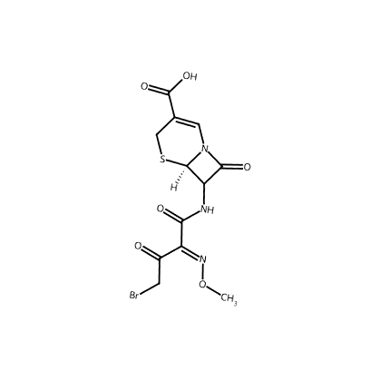 CON=C(C(=O)CBr)C(=O)NC1C(=O)N2C=C(C(=O)O)CS[C@H]12